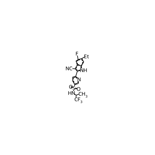 CCc1cc2[nH]c(-c3ccc(S(=O)(=O)NC(C)C(F)(F)F)cn3)c(C#N)c2cc1F